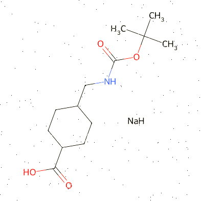 CC(C)(C)OC(=O)NCC1CCC(C(=O)O)CC1.[NaH]